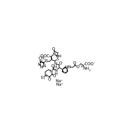 CCN1CCN(C(=O)NC(C(=O)NC2S[C@H]3CC(=O)N3C(C(=O)[O-])=C2CSc2nnnn2C)c2cccc(NCC(=O)OC[C@@H](N)C(=O)[O-])c2)C(=O)C1=O.[Na+].[Na+]